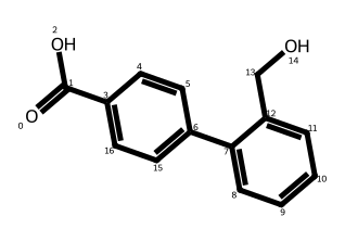 O=C(O)c1ccc(-c2ccccc2CO)cc1